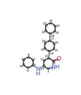 O=c1[nH]cc(Nc2ccccc2)cc1-c1ccc(-c2ccccc2)cc1